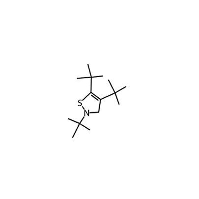 CC(C)(C)C1=C(C(C)(C)C)SN(C(C)(C)C)C1